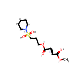 COC(=O)/C=C/C(=O)OCCCS(=O)(=O)N1CCCCC1